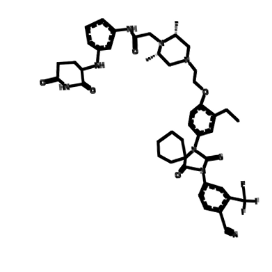 CCc1cc(N2C(=S)N(c3ccc(C#N)c(C(F)(F)F)c3)C(=O)C23CCCCC3)ccc1OCCN1C[C@@H](C)N(CC(=O)Nc2cccc(NC3CCC(=O)NC3=O)c2)[C@@H](C)C1